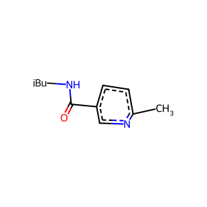 CCC(C)NC(=O)c1ccc(C)nc1